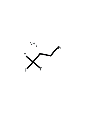 CC(C)CCC(F)(F)F.N